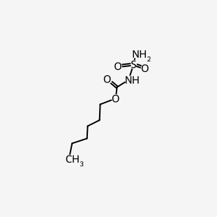 CCCCCCOC(=O)NS(N)(=O)=O